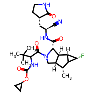 C[C@H]1C2[C@@H]([C@H]3[C@@H]1CN(C(=O)C(NC(=O)OC1CC1)C(C)(C)C)[C@@H]3C(=O)N[C@H](C#N)C[C@@H]1CCNC1=O)[C@@H]2F